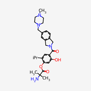 CC(C)c1cc(C(=O)N2Cc3ccc(CN4CCN(C)CC4)cc3C2)c(O)cc1OC(=O)C(C)(C)N